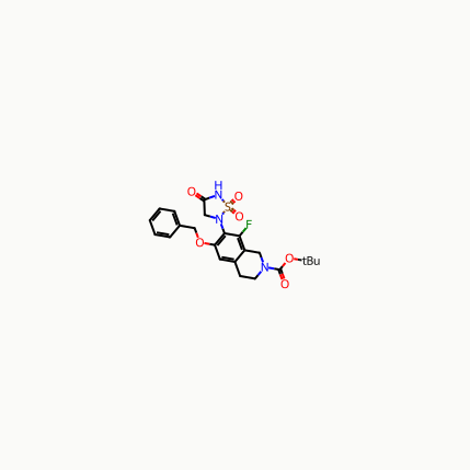 CC(C)(C)OC(=O)N1CCc2cc(OCc3ccccc3)c(N3CC(=O)NS3(=O)=O)c(F)c2C1